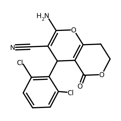 N#CC1=C(N)OC2=C(C(=O)OCC2)C1c1c(Cl)cccc1Cl